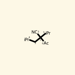 CC(=O)C(C#N)(CC(C)C)C(C)C